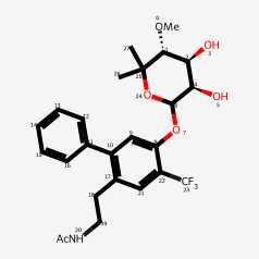 CO[C@@H]1[C@@H](O)[C@@H](O)C(Oc2cc(-c3ccccc3)c(CCNC(C)=O)cc2C(F)(F)F)OC1(C)C